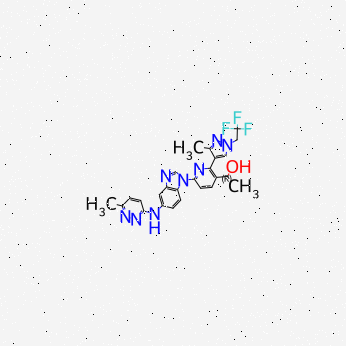 Cc1ccc(Nc2ccc3c(c2)ncn3-c2ccc([C@@H](C)O)c(-c3cn(CC(F)(F)F)nc3C)n2)nn1